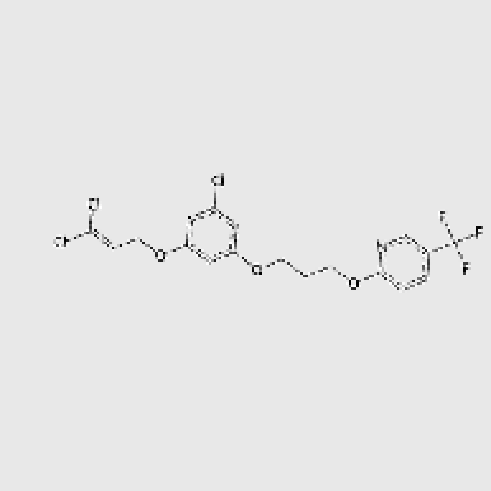 FC(F)(F)c1ccc(OCCCOc2cc(Cl)cc(OCC=C(Cl)Cl)c2)nc1